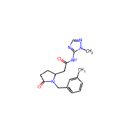 Cc1cccc(CN2C(=O)CCC2CC(=O)Nc2ncnn2C)c1